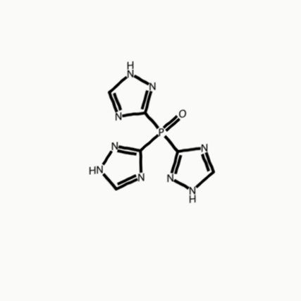 O=P(c1nc[nH]n1)(c1nc[nH]n1)c1nc[nH]n1